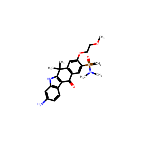 C=S(=O)(c1cc2c(cc1OCCOC)C(C)(C)c1[nH]c3cc(N)ccc3c1C2=O)N(C)C